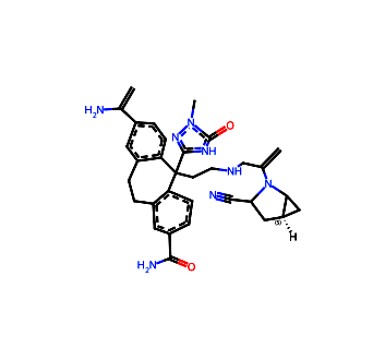 C=C(N)c1ccc2c(c1)CCc1cc(C(N)=O)ccc1C2(CCNCC(=C)N1C(C#N)C[C@@H]2CC21)c1nn(C)c(=O)[nH]1